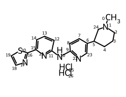 CN1CCCC(c2ccc(Nc3cccc(-c4nccs4)n3)nc2)C1.Cl.Cl